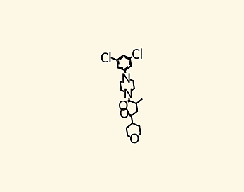 CC(CC(=O)C1CCOCC1)C(=O)N1CCN(c2cc(Cl)cc(Cl)c2)CC1